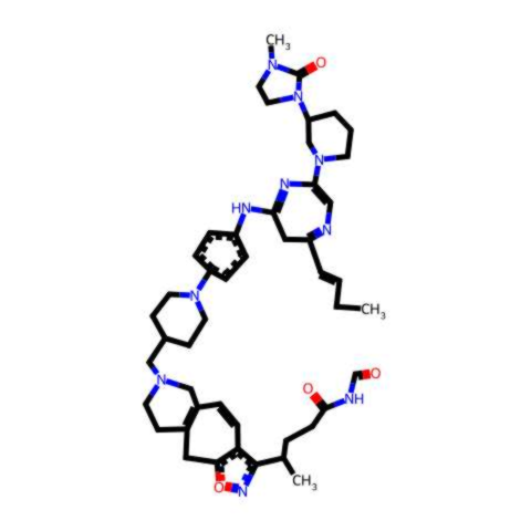 CC/C=C/C1=NC=C(N2CCCC(N3CCN(C)C3=O)C2)N=C(Nc2ccc(N3CCC(CN4CCC5=C(C=Cc6c(C(C)CCC(=O)NC=O)noc6C5)C4)CC3)cc2)C1